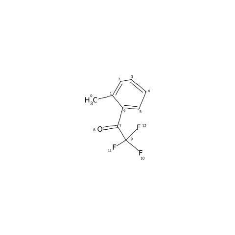 Cc1ccccc1C(=O)C(F)(F)F